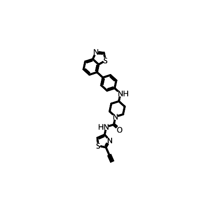 C#Cc1nc(NC(=O)N2CCC(Nc3ccc(-c4cccc5ncsc45)cc3)CC2)cs1